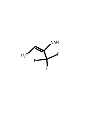 C/C=C(/NC)C(F)(F)F